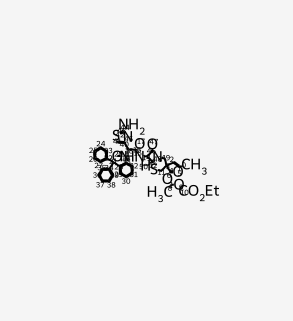 CC=CC1(C(=O)OC(C)OC(=O)OCC)CS[C@@H]2C(NC(=O)C(=NOC(c3ccccc3)(c3ccccc3)c3ccccc3)c3csc(N)n3)C(=O)N2C1